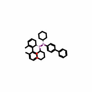 CC1=C(c2ccccc2C)[C]([P@@](C2CCCCC2)[P@@](c2ccc(-c3ccccc3)cc2)C2CCCCC2)CC=C1